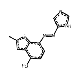 Cc1cc2c(O)ccc(/N=N/c3cnc[nH]3)c2s1